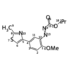 COc1ccc(-c2csc(C)n2)cc1N=NC(=O)OC(C)C